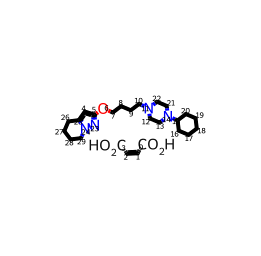 O=C(O)/C=C\C(=O)O.c1c(OCCCCN2CCN(C3CCCCC3)CC2)nn2c1CCCC2